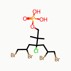 CC(C)(COP(=O)(O)O)C(Cl)(CC(Br)CBr)CC(Br)CBr